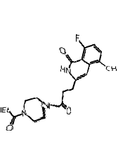 C[CH]C(=O)N1CCN(C(=O)CCc2cc3c(C)ccc(F)c3c(=O)[nH]2)CC1